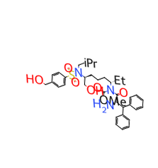 CC[C@@H](CCC[C@@H](CO)N(CC(C)C)S(=O)(=O)c1ccc(CO)cc1)N(C(=O)OC)C(=O)[C@@H](N)C(c1ccccc1)c1ccccc1